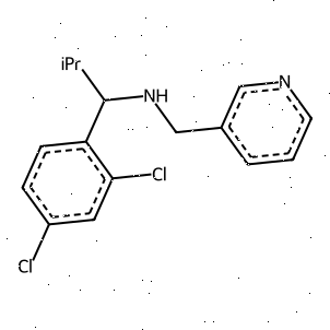 CC(C)C(NCc1cccnc1)c1ccc(Cl)cc1Cl